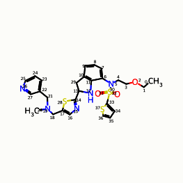 CCOCCN(c1cccc2c1NC(c1ncc(CN(C)Cc3cccnc3)s1)C2)S(=O)(=O)c1cccs1